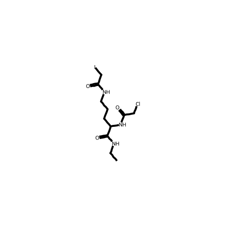 CCNC(=O)C(CCCNC(=O)CI)NC(=O)CCl